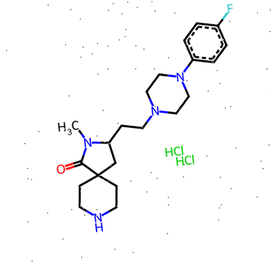 CN1C(=O)C2(CCNCC2)CC1CCN1CCN(c2ccc(F)cc2)CC1.Cl.Cl